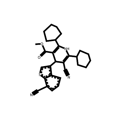 COC(=O)C1=C(C2CCCCC2)NC(C2CCCCC2)=C(C#N)C1c1csc2c(C#N)cccc12